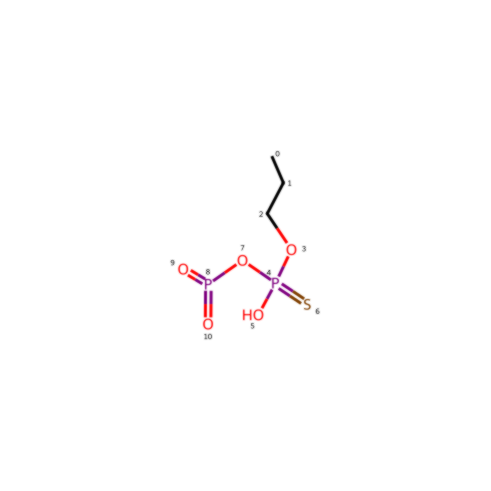 CCCOP(O)(=S)OP(=O)=O